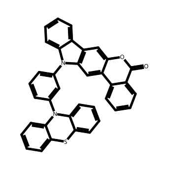 O=c1oc2cc3c4ccccc4n(-c4cccc(N5c6ccccc6Sc6ccccc65)c4)c3cc2c2ccccc12